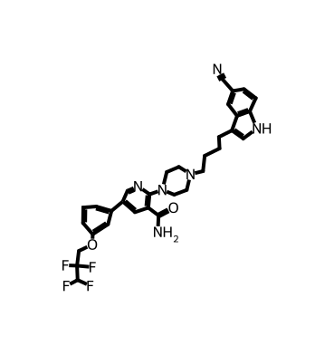 N#Cc1ccc2[nH]cc(CCCCN3CCN(c4ncc(-c5cccc(OCC(F)(F)C(F)F)c5)cc4C(N)=O)CC3)c2c1